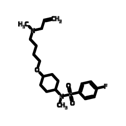 C=CCN(C)CCCCOC1CCC(N(C)S(=O)(=O)c2ccc(F)cc2)CC1